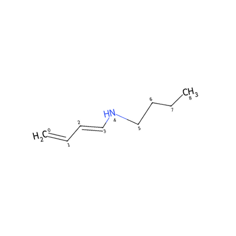 C=C/C=C/NCCCC